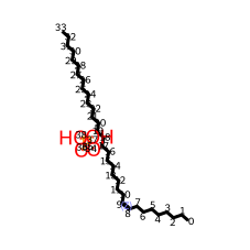 CCCCCCCC/C=C\CCCCCCCC(CCCCCCCCCCCCCCCC)OP(=O)(O)O